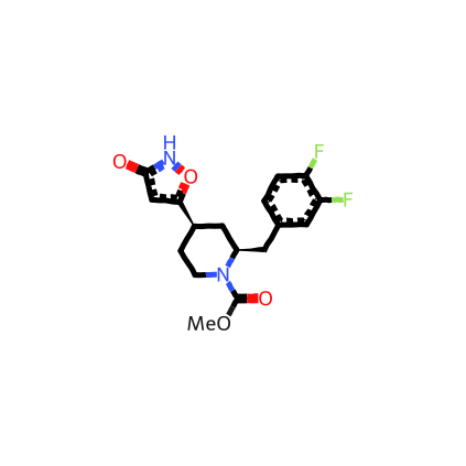 COC(=O)N1CC[C@@H](c2cc(=O)[nH]o2)C[C@H]1Cc1ccc(F)c(F)c1